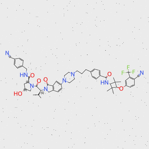 CC(C)[C@@H](C(=O)N1C[C@H](O)C[C@H]1C(=O)NCc1ccc(C#N)cc1)N1Cc2ccc(N3CCN(CCCc4ccc(C(=O)N[C@H]5C(C)(C)[C@H](Oc6ccc(C#N)c(C(F)(F)F)c6)C5(C)C)cc4)CC3)cc2C1=O